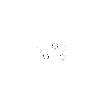 Cc1cc(OCCc2ccc(C=NN)cc2)cc(N(CC(=O)O)S(=O)(=O)c2ccccc2Cl)c1